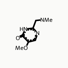 CNCc1ncc(OC)c(=O)[nH]1